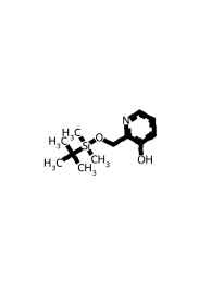 CC(C)(C)[Si](C)(C)OCc1ncccc1O